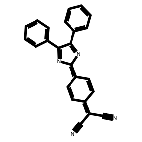 N#CC(C#N)=c1ccc(=C2N=C(c3ccccc3)C(c3ccccc3)=N2)cc1